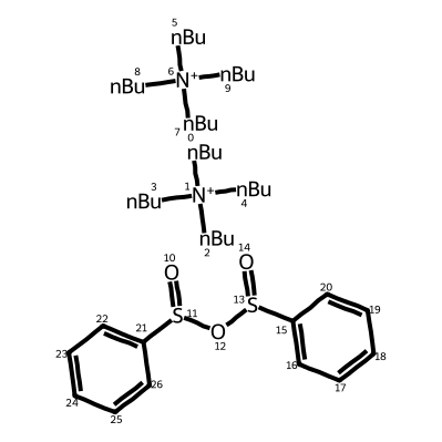 CCCC[N+](CCCC)(CCCC)CCCC.CCCC[N+](CCCC)(CCCC)CCCC.O=S(OS(=O)c1ccccc1)c1ccccc1